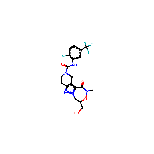 CN1OC(CO)Cn2nc3c(c2C1=O)CN(C(=O)Nc1cc(C(F)(F)F)ccc1F)CC3